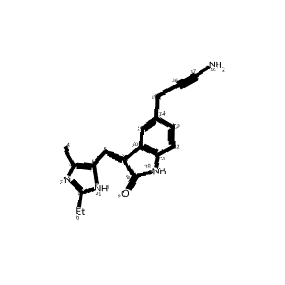 CCc1nc(C)c(/C=C2\C(=O)Nc3ccc(CC#CN)cc32)[nH]1